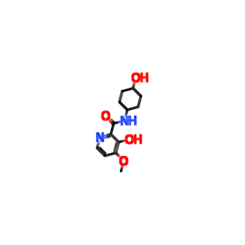 COc1ccnc(C(=O)NC2CCC(O)CC2)c1O